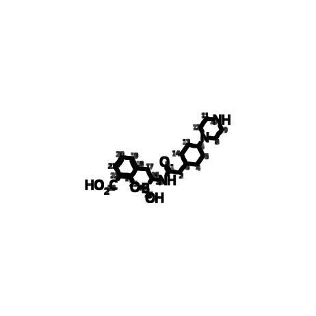 O=C(CC1CCC(N2CCNCC2)CC1)NC1Cc2cccc(C(=O)O)c2OB1O